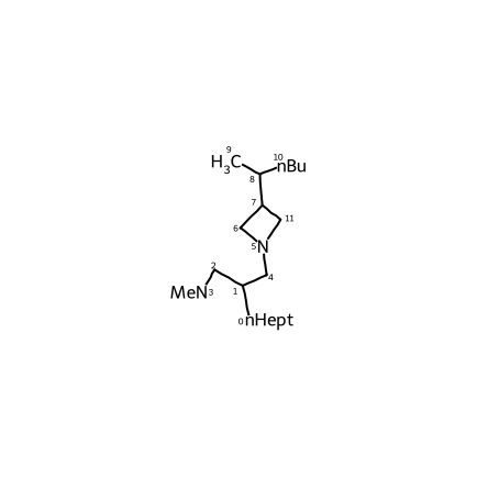 CCCCCCCC(CNC)CN1CC(C(C)CCCC)C1